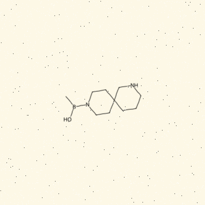 CB(O)N1CCC2(CCCNC2)CC1